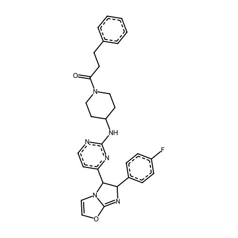 O=C(CCc1ccccc1)N1CCC(Nc2nccc(C3C(c4ccc(F)cc4)N=C4OC=CN43)n2)CC1